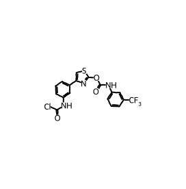 O=C(Cl)Nc1cccc(-c2csc(OC(=O)Nc3cccc(C(F)(F)F)c3)n2)c1